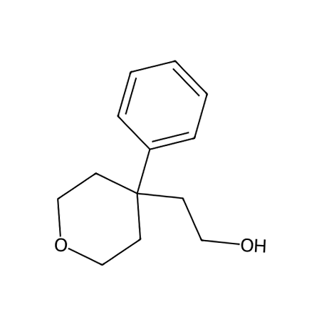 OCCC1(c2ccccc2)CCOCC1